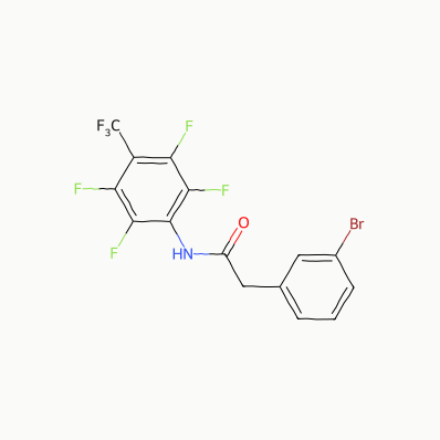 O=C(Cc1cccc(Br)c1)Nc1c(F)c(F)c(C(F)(F)F)c(F)c1F